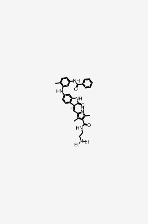 CCN(CC)CCNC(=O)c1c(C)[nH]c(/C=C2\C(=O)Nc3cc(Nc4cc(NC(=O)c5ccccc5)ccc4C)ccc32)c1C